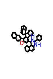 c1ccc(C2Nc3ccc4ccccc4c3C(c3cc4oc5cc6ccccc6cc5c4c4c3-c3ccccc3C43C4CC5CC(C4)CC3C5)N2)cc1